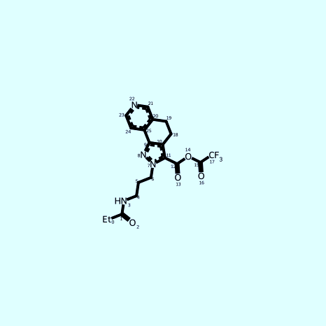 CCC(=O)NCCCn1nc2c(c1C(=O)OC(=O)C(F)(F)F)CCc1cnccc1-2